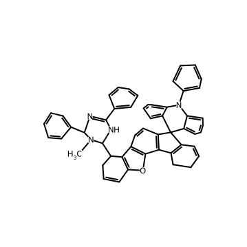 CN1C(c2ccccc2)N=C(c2ccccc2)NC1C1CC=Cc2oc3c4c(ccc3c21)C1(C2=C4CCC=C2)c2ccccc2N(c2ccccc2)c2ccccc21